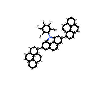 [2H]c1c([2H])c([2H])c(-n2c3cc(-c4ccc5ccc6cccc7ccc4c5c67)cc4ccc5cc(-c6ccc7ccc8cccc9ccc6c7c89)cc2c5c43)c([2H])c1[2H]